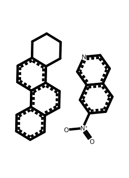 O=[N+]([O-])c1ccc2ccncc2c1.c1ccc2c(c1)ccc1c3c(ccc12)CCCC3